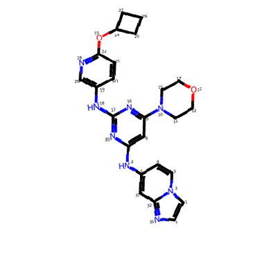 c1cn2ccc(Nc3cc(N4CCOCC4)nc(Nc4ccc(OC5CCC5)nc4)n3)cc2n1